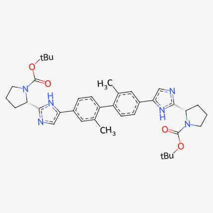 Cc1cc(-c2cnc([C@@H]3CCCN3C(=O)OC(C)(C)C)[nH]2)ccc1-c1ccc(-c2cnc([C@@H]3CCCN3C(=O)OC(C)(C)C)[nH]2)cc1C